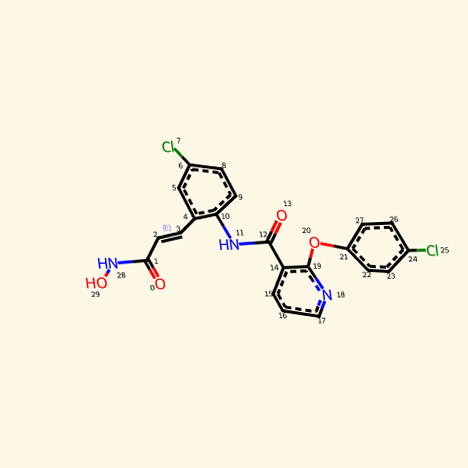 O=C(/C=C/c1cc(Cl)ccc1NC(=O)c1cccnc1Oc1ccc(Cl)cc1)NO